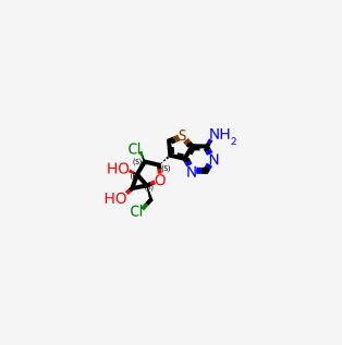 Nc1ncnc2c([C@@H]3O[C@]4(CCl)C(O)[C@]4(O)[C@H]3Cl)csc12